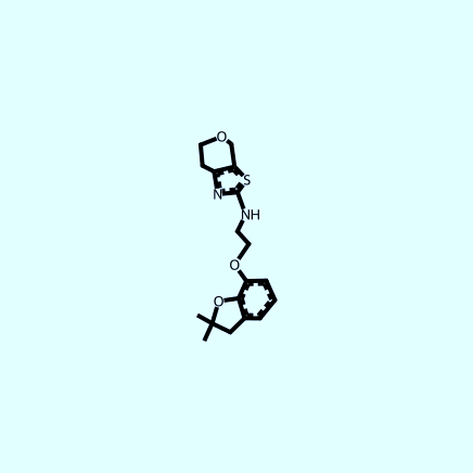 CC1(C)Cc2cccc(OCCNc3nc4c(s3)COCC4)c2O1